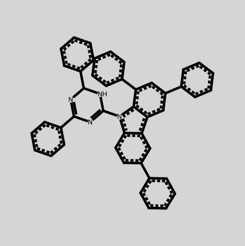 c1ccc(C2=NC(c3ccccc3)NC(n3c4ccc(-c5ccccc5)cc4c4cc(-c5ccccc5)cc(-c5ccccc5)c43)=N2)cc1